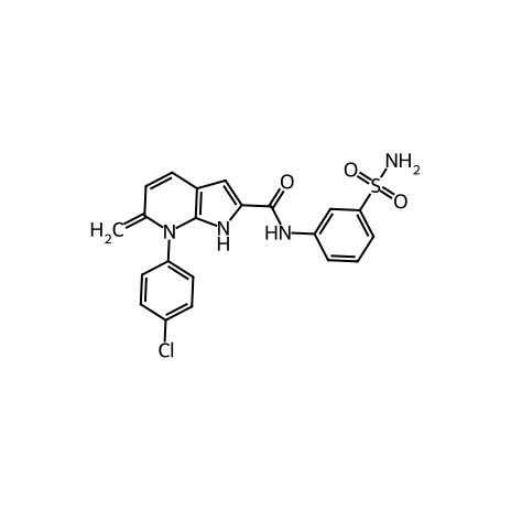 C=C1C=Cc2cc(C(=O)Nc3cccc(S(N)(=O)=O)c3)[nH]c2N1c1ccc(Cl)cc1